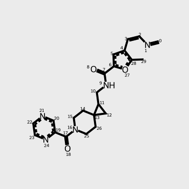 C=N/C=C\c1cc(C(=O)NCC2CC23CCN(C(=O)c2cnccn2)CC3)oc1C